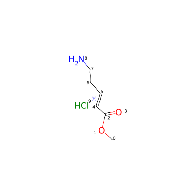 COC(=O)/C=C/CCN.Cl